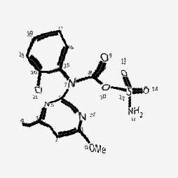 COc1cc(C)nc(N(C(=O)OS(N)(=O)=O)c2ccccc2Cl)n1